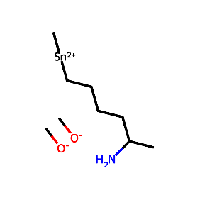 C[O-].C[O-].[CH3][Sn+2][CH2]CCCC(C)N